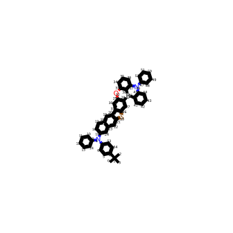 CC(C)(C)c1ccc(N(c2ccccc2)c2ccc3cc4c(cc3c2)sc2cc3c(cc24)Oc2cccc4c2B3c2ccccc2N4c2ccccc2)cc1